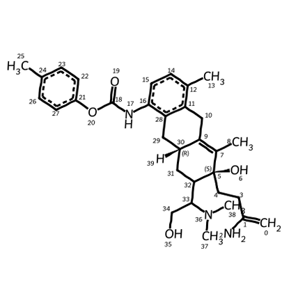 C=C(N)CC[C@@]1(O)C(C)=C2Cc3c(C)ccc(NC(=O)Oc4ccc(C)cc4)c3C[C@H]2CC1C(CO)N(C)C